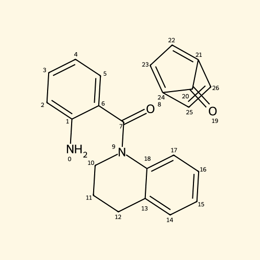 Nc1ccccc1C(=O)N1CCCc2ccccc21.O=C1C2=CC=C1C=C2